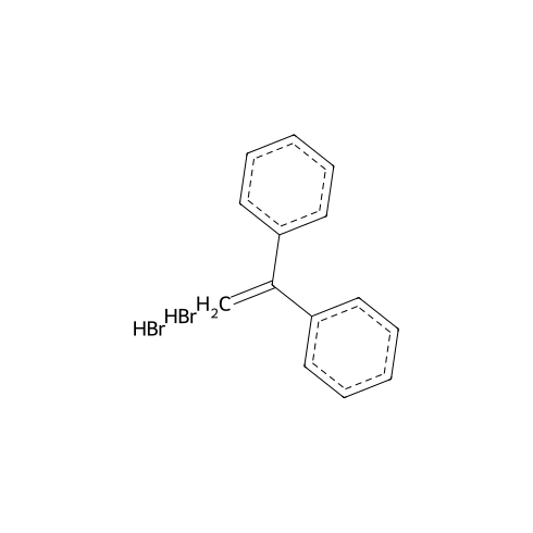 Br.Br.C=C(c1ccccc1)c1ccccc1